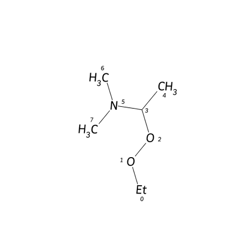 CCOOC(C)N(C)C